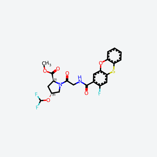 COC(=O)[C@@H]1C[C@@H](OC(F)F)CN1C(=O)CNC(=O)c1cc2c(cc1F)Sc1ccccc1O2